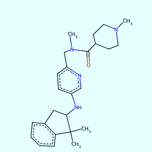 CN1CCC(C(=O)N(C)Cc2ccc(NC3Cc4ccccc4C3(C)C)cn2)CC1